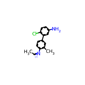 C/C=N\c1ccc(-c2cc(N)ccc2Cl)cc1C